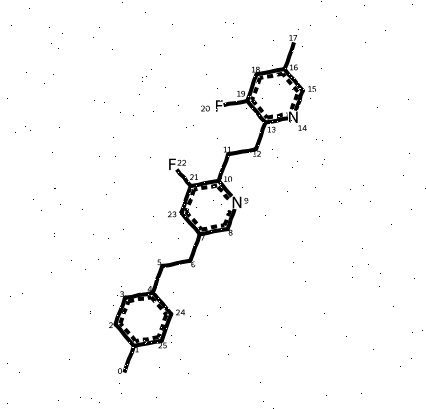 Cc1ccc(CCc2cnc(CCc3ncc(C)cc3F)c(F)c2)cc1